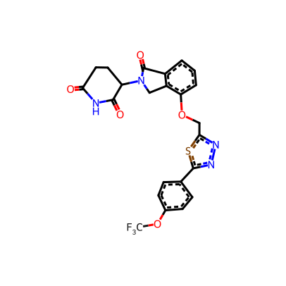 O=C1CCC(N2Cc3c(OCc4nnc(-c5ccc(OC(F)(F)F)cc5)s4)cccc3C2=O)C(=O)N1